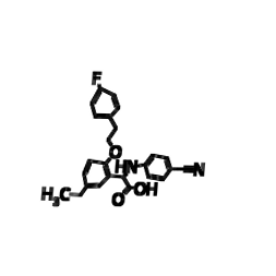 CCc1ccc(OCCc2ccc(F)cc2)c([C@@H](Nc2ccc(C#N)cc2)C(=O)O)c1